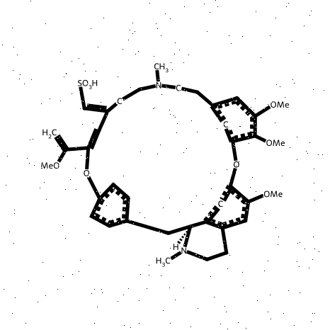 C=C(OC)/C1=C\C(=C\S(=O)(=O)O)CCN(C)CCc2cc(OC)c(OC)c(c2)Oc2cc3c(cc2OC)CCN(C)[C@H]3Cc2ccc(cc2)O1